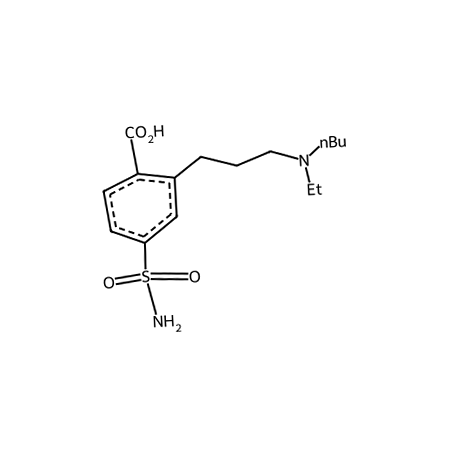 CCCCN(CC)CCCc1cc(S(N)(=O)=O)ccc1C(=O)O